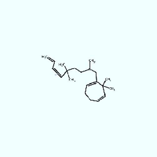 C=C/C=C\C(C)(C)CCN(C)CC1=CCCC=CC1(C)C